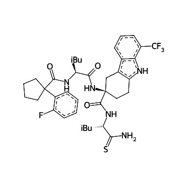 CCC(C)[C@H](NC(=O)C1(c2ccccc2F)CCCC1)C(=O)N[C@]1(C(=O)NC(C(N)=S)[C@@H](C)CC)CCc2[nH]c3c(C(F)(F)F)cccc3c2C1